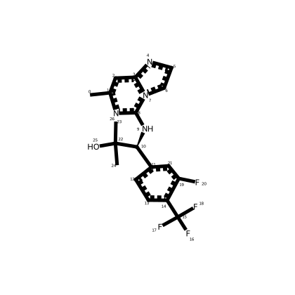 Cc1cc2nccn2c(N[C@@H](c2ccc(C(F)(F)F)c(F)c2)C(C)(C)O)n1